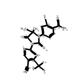 CC1(C)C(=O)N(c2ncc(C#N)c(C(F)(F)F)n2)C(=O)N1c1ccc(C(N)=O)c(F)c1